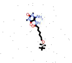 Cn1c(N)c(NC(=O)CCCCCCO[Si](C)(C)C(C)(C)C)c(=O)n(C)c1=O